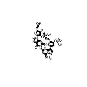 Nc1nc2c(nnn2[C@@H]2O[C@H](CCO)[C@H](F)[C@H]2OP(=O)(S)OC[C@H]2O[C@@H](c3cnn4c(N)ncnc34)C[C@@H]2O[PH](=O)S)c(=O)[nH]1